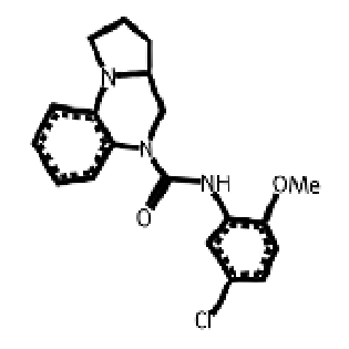 COc1ccc(Cl)cc1NC(=O)N1CC2CCCN2c2ccccc21